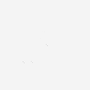 CCOC(=O)C(=O)N(Cc1ccccc1)Cc1ccnn1C